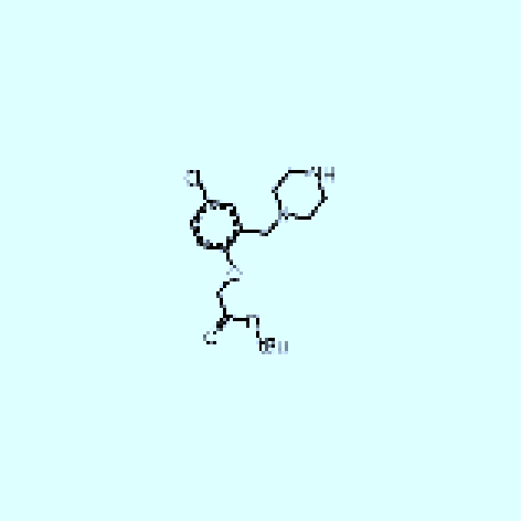 CC(C)(C)OC(=O)COc1ccc(Cl)cc1CN1CCNCC1